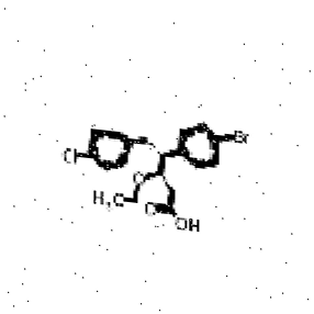 CCO[C@H](CC(=O)O)[C@H](Cc1ccc(Cl)cc1)c1ccc(Br)cc1